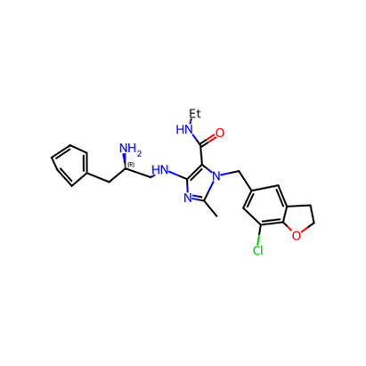 CCNC(=O)c1c(NC[C@H](N)Cc2ccccc2)nc(C)n1Cc1cc(Cl)c2c(c1)CCO2